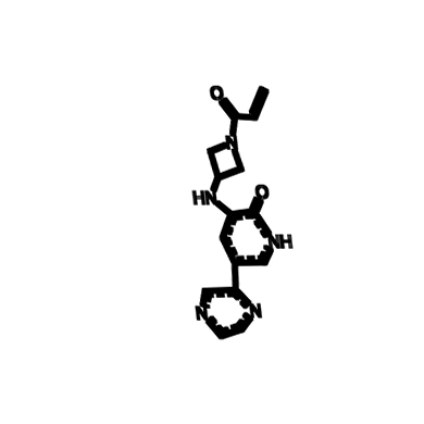 C=CC(=O)N1CC(Nc2cc(-c3cnccn3)c[nH]c2=O)C1